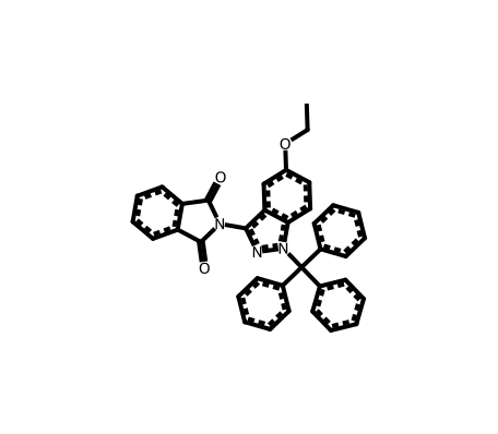 CCOc1ccc2c(c1)c(N1C(=O)c3ccccc3C1=O)nn2C(c1ccccc1)(c1ccccc1)c1ccccc1